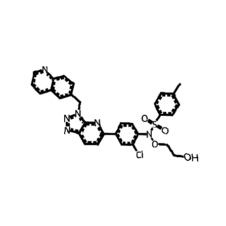 Cc1ccc(S(=O)(=O)N(OCCO)c2ccc(-c3ccc4nnn(Cc5ccc6ncccc6c5)c4n3)cc2Cl)cc1